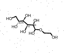 OCCOC(O)[C@H](O)[C@@H](O)[C@H](O)[C@H](O)CO